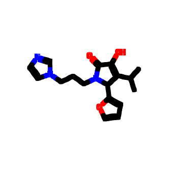 CC(C)C1=C(O)C(=O)N(CCCn2ccnc2)C1c1ccco1